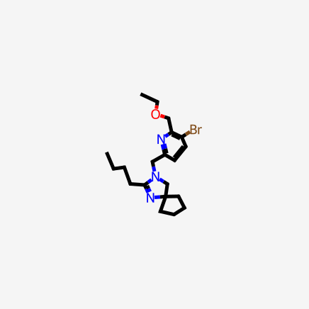 CCCCC1=NC2(CCCC2)CN1Cc1ccc(Br)c(COCC)n1